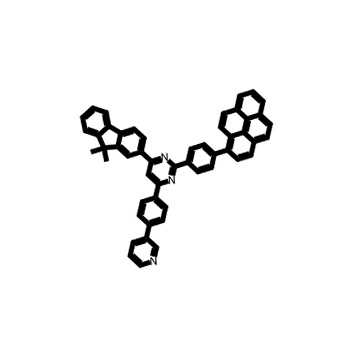 CC1(C)c2ccccc2-c2ccc(-c3cc(-c4ccc(-c5cccnc5)cc4)nc(-c4ccc(-c5ccc6ccc7cccc8ccc5c6c78)cc4)n3)cc21